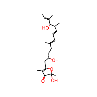 C/C=C(\C)C(O)C(C)/C=C/C=C(\C)CCC(O)CC1=C(C)C(=O)C(C)(O)O1